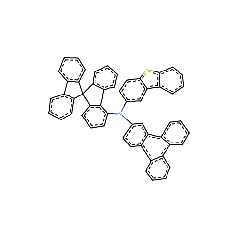 c1ccc2c(c1)-c1ccccc1C21c2ccccc2-c2c(N(c3ccc4sc5ccccc5c4c3)c3ccc4c5ccccc5c5ccccc5c4c3)cccc21